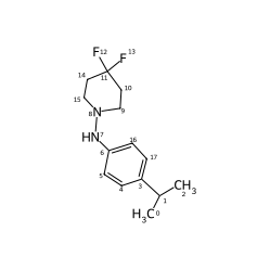 CC(C)c1ccc(NN2CCC(F)(F)CC2)cc1